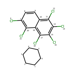 C1CCCCC1.Clc1ccc2c(Cl)c(Cl)c(Cl)c(Cl)c2c1Cl